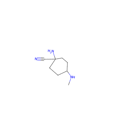 CNC1CCC(N)(C#N)CC1